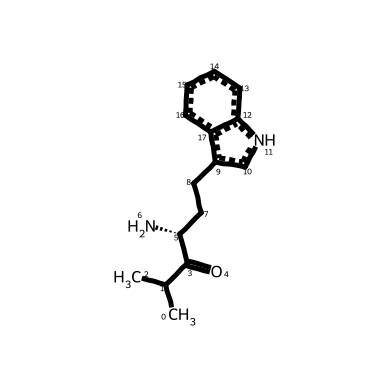 CC(C)C(=O)[C@H](N)CCc1c[nH]c2ccccc12